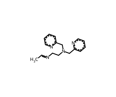 CC=NCCN(Cc1ccccn1)Cc1ccccn1